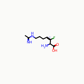 CC(=N)NCCC/C=C(/F)C(N)C(=O)O